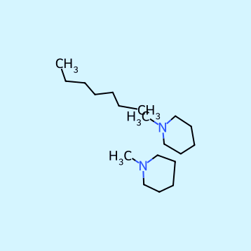 CCCCCCC.CN1CCCCC1.CN1CCCCC1